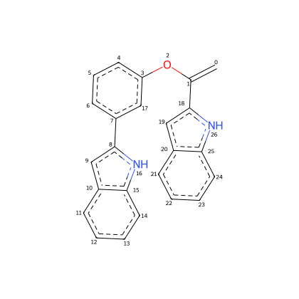 C=C(Oc1cccc(-c2cc3ccccc3[nH]2)c1)c1cc2ccccc2[nH]1